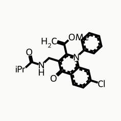 C=C(OC)c1c(CNC(=O)C(C)C)c(=O)c2ccc(Cl)cc2n1-c1ccccc1